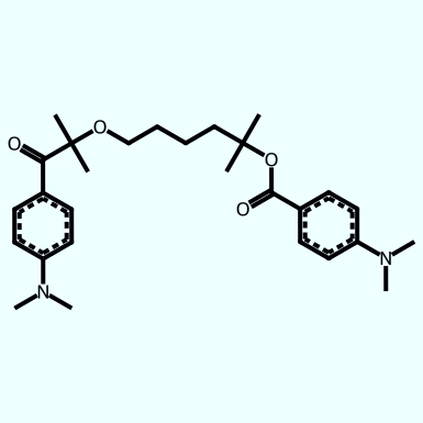 CN(C)c1ccc(C(=O)OC(C)(C)CCCCOC(C)(C)C(=O)c2ccc(N(C)C)cc2)cc1